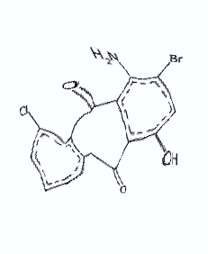 Nc1c(Br)cc(O)c2c1C(=O)c1c(Cl)cccc1C2=O